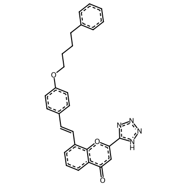 O=c1cc(-c2nnn[nH]2)oc2c(C=Cc3ccc(OCCCCc4ccccc4)cc3)cccc12